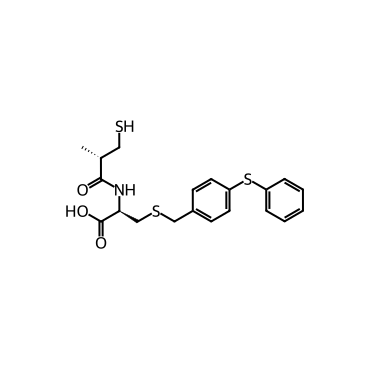 C[C@H](CS)C(=O)N[C@@H](CSCc1ccc(Sc2ccccc2)cc1)C(=O)O